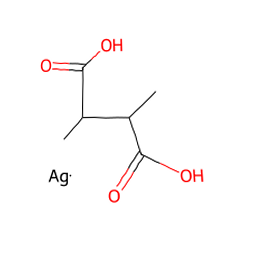 CC(C(=O)O)C(C)C(=O)O.[Ag]